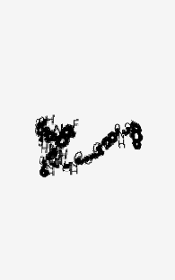 CCC1(O)C(=O)OCc2c1cc1n(c2=O)Cc2c-1nc1cc(F)c(C)c3c1c2C(NC(=O)CNC(=O)C(Cc1ccccc1)NC(=O)CNC(=O)CNC(=O)CCOCCC(C)C(=O)N1CCC2(CCC(C(=O)NCCC(=O)N4Cc5ccccc5C#Cc5ccccc54)CC2)CC1)CC3